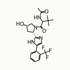 CC(=O)N[C@H](C(=O)N1C[C@H](O)C[C@H]1c1ncc(-c2ccccc2C(F)(F)F)[nH]1)C(C)(C)C